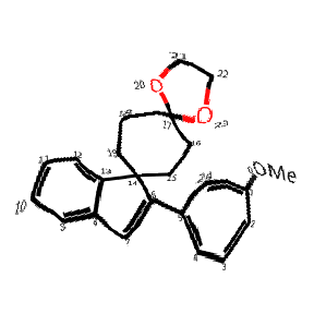 COc1cccc(C2=Cc3ccccc3C23CCC2(CC3)OCCO2)c1